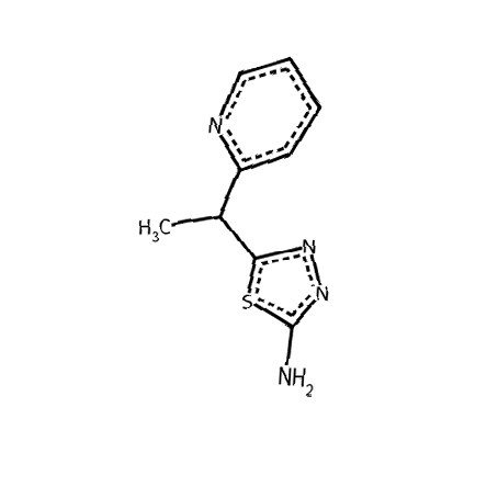 CC(c1ccccn1)c1nnc(N)s1